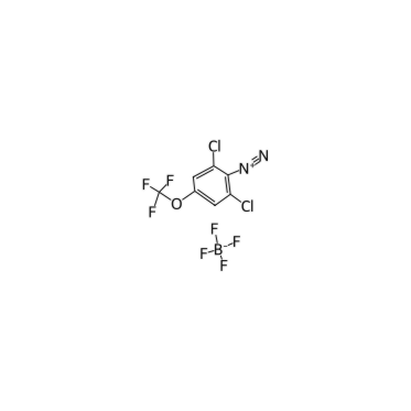 F[B-](F)(F)F.N#[N+]c1c(Cl)cc(OC(F)(F)F)cc1Cl